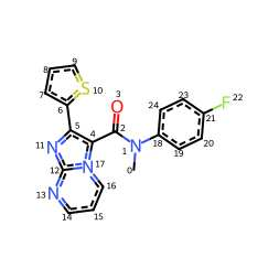 CN(C(=O)c1c(-c2cccs2)nc2ncccn12)c1ccc(F)cc1